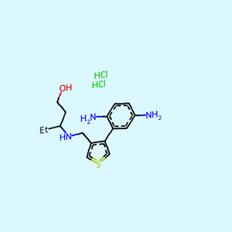 CCC(CCO)NCc1cscc1-c1cc(N)ccc1N.Cl.Cl